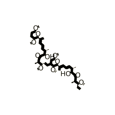 CC[C@H](OC)[C@@H](C)[C@@H]1O[C@H]1[C@H](O)[C@@H](C)/C=C/C=C(\C)[C@@H]1O[C@@H](OC)CC(CC[C@H](OC)[C@@H](C)[C@@H]2O[C@H]2[C@H](O)[C@@H](C)/C=C/C=C(\C)[C@@H]2O[C@@H](OC)CC[C@H]2OC)[C@@H]1OC